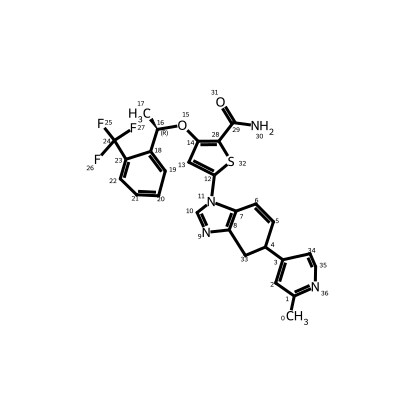 Cc1cc(C2C=Cc3c(ncn3-c3cc(O[C@H](C)c4ccccc4C(F)(F)F)c(C(N)=O)s3)C2)ccn1